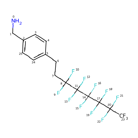 NCc1ccc(CCC(F)(F)C(F)(F)C(F)(F)C(F)(F)C(F)(F)C(F)(F)F)cc1